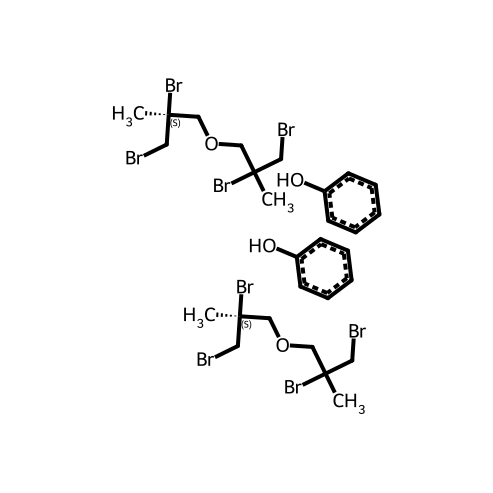 CC(Br)(CBr)COC[C@](C)(Br)CBr.CC(Br)(CBr)COC[C@](C)(Br)CBr.Oc1ccccc1.Oc1ccccc1